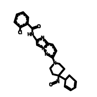 O=NC1(C2C=CC=CC2)CCN(c2ccc3nc(NC(=O)c4ccccc4Cl)cn3n2)CC1